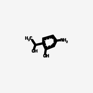 CC(O)c1ccc(N)cc1O